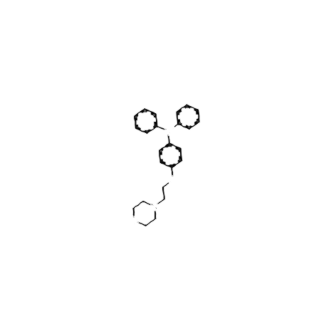 c1ccc([S+](c2ccccc2)c2ccc(OCCN3CCOCC3)cc2)cc1